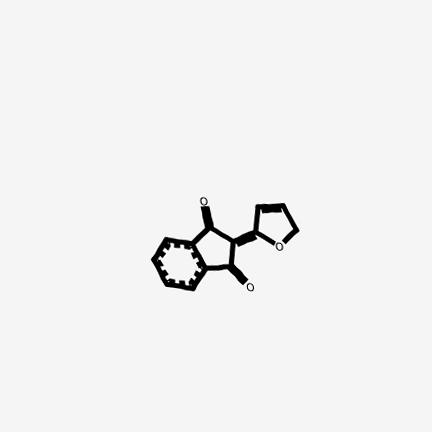 O=C1C(=C2C=CCO2)C(=O)c2ccccc21